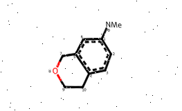 CNc1ccc2c(c1)COCC2